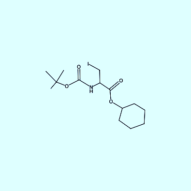 CC(C)(C)OC(=O)NC(CI)C(=O)OC1CCCCC1